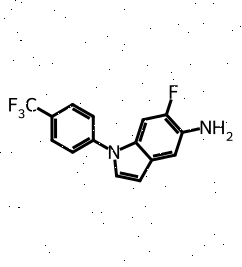 Nc1cc2ccn(-c3ccc(C(F)(F)F)cc3)c2cc1F